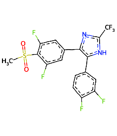 CS(=O)(=O)c1c(F)cc(-c2nc(C(F)(F)F)[nH]c2-c2ccc(F)c(F)c2)cc1F